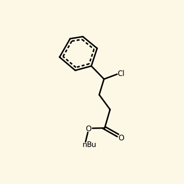 CCCCOC(=O)CCC(Cl)c1ccccc1